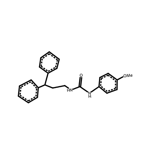 COc1ccc(NC(=O)NCCC(c2ccccc2)c2ccccc2)cc1